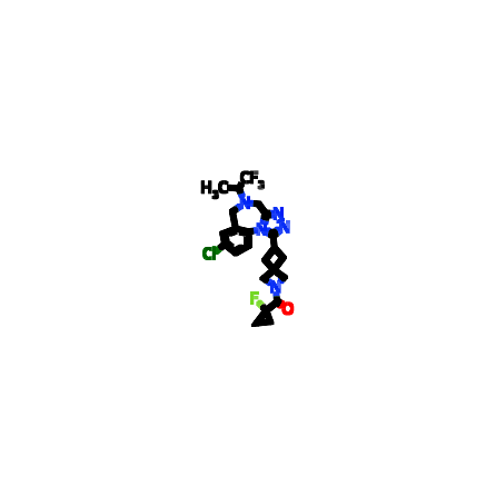 CC(N1Cc2cc(Cl)ccc2-n2c(nnc2C2CC3(C2)CN(C(=O)C2(F)CC2)C3)C1)C(F)(F)F